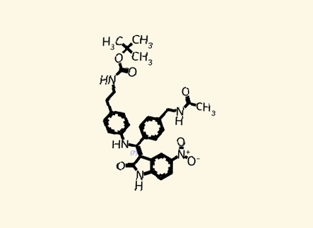 CC(=O)NCc1ccc(/C(Nc2ccc(CCNC(=O)OC(C)(C)C)cc2)=C2/C(=O)Nc3ccc([N+](=O)[O-])cc32)cc1